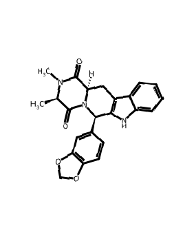 C[C@@H]1C(=O)N2[C@H](c3ccc4c(c3)OCO4)c3[nH]c4ccccc4c3C[C@@H]2C(=O)N1C